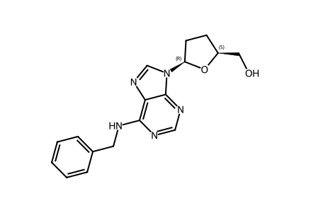 OC[C@@H]1CC[C@H](n2cnc3c(NCc4ccccc4)ncnc32)O1